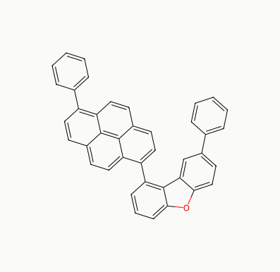 c1ccc(-c2ccc3oc4cccc(-c5ccc6ccc7c(-c8ccccc8)ccc8ccc5c6c87)c4c3c2)cc1